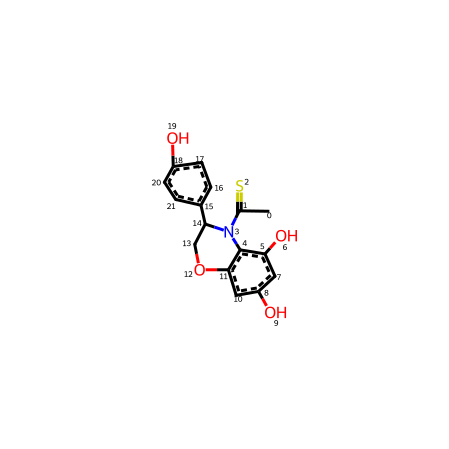 CC(=S)N1c2c(O)cc(O)cc2OCC1c1ccc(O)cc1